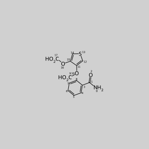 NC(=O)c1ccccc1.O=C(O)Oc1cscc1OC(=O)O